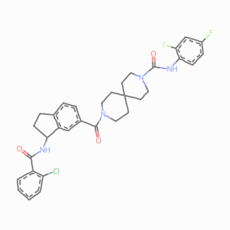 O=C(NC1CCc2ccc(C(=O)N3CCC4(CCN(C(=O)Nc5ccc(F)cc5F)CC4)CC3)cc21)c1ccccc1Cl